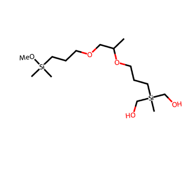 CO[Si](C)(C)CCCOCC(C)OCCC[Si](C)(CO)CO